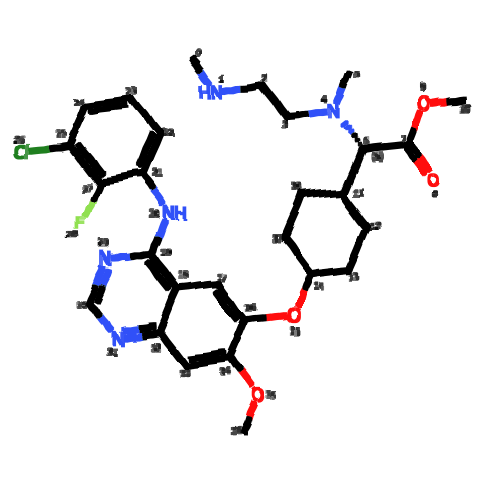 CNCCN(C)[C@H](C(=O)OC)C1CCC(Oc2cc3c(Nc4cccc(Cl)c4F)ncnc3cc2OC)CC1